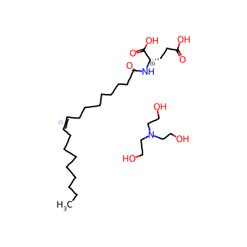 CCCCCCCC/C=C\CCCCCCCC(=O)N[C@@H](CCC(=O)O)C(=O)O.OCCN(CCO)CCO